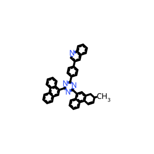 CC1C=Cc2c(cc(-c3nc(-c4ccc(-c5cnc6ccccc6c5)cc4)nc(-c4cc5ccccc5c5ccccc45)n3)c3ccccc23)C1